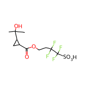 CC(C)(O)C1CC1C(=O)OCCC(F)(F)C(F)(F)S(=O)(=O)O